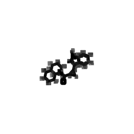 Cn1cc(C2CC2C(=O)N2CCCC3CCCCC32)c2ccccc21